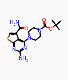 CC(C)(C)OC(=O)N1CCN(c2nc(N)nc3scc(C(N)=O)c23)CC1